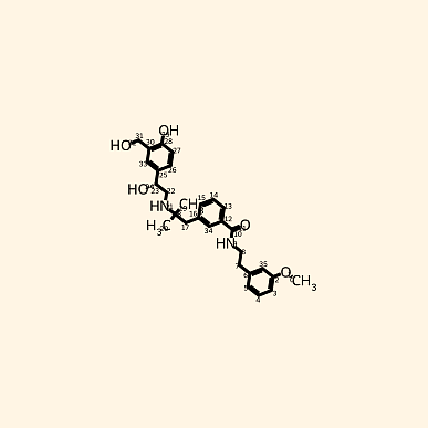 COc1cccc(CCNC(=O)c2cccc(CC(C)(C)NC[C@H](O)c3ccc(O)c(CO)c3)c2)c1